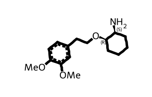 COc1ccc(CCO[C@@H]2CCCC[C@@H]2N)cc1OC